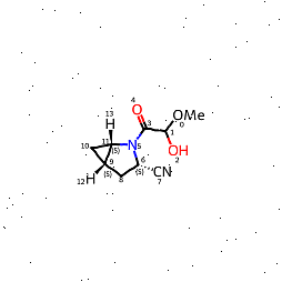 COC(O)C(=O)N1[C@H](C#N)C[C@@H]2C[C@@H]21